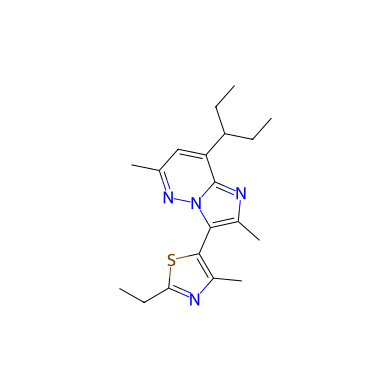 CCc1nc(C)c(-c2c(C)nc3c(C(CC)CC)cc(C)nn23)s1